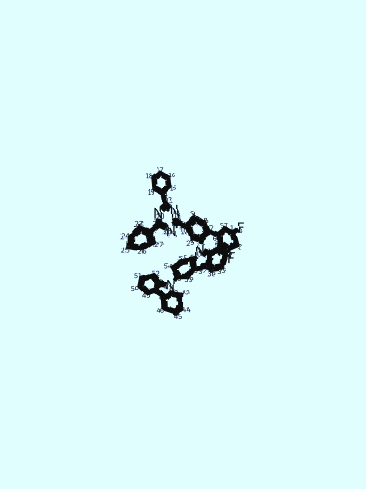 Fc1cc(F)cc(-c2ccc(-c3nc(-c4ccccc4)nc(-c4ccccc4)n3)cc2-n2c3ccccc3c3cc(-n4c5ccccc5c5ccccc54)ccc32)c1